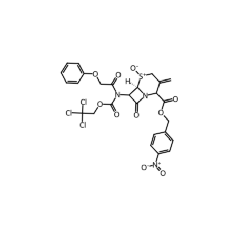 C=C1C[S+]([O-])[C@@H]2C(N(C(=O)COc3ccccc3)C(=O)OCC(Cl)(Cl)Cl)C(=O)N2C1C(=O)OCc1ccc([N+](=O)[O-])cc1